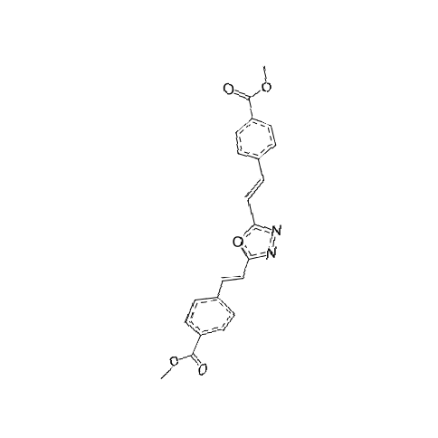 COC(=O)c1ccc(C=Cc2nnc(C=Cc3ccc(C(=O)OC)cc3)o2)cc1